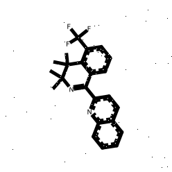 CC1(C)N=C(c2ccc3ccccc3n2)c2cccc(C(F)(F)F)c2C1(C)C